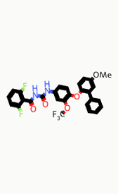 COc1ccc(Oc2ccc(NC(=O)NC(=O)c3c(F)cccc3F)cc2OC(F)(F)F)c(-c2ccccc2)c1